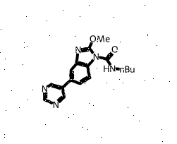 CCCCNC(=O)n1c(OC)nc2cc(-c3cncnc3)ccc21